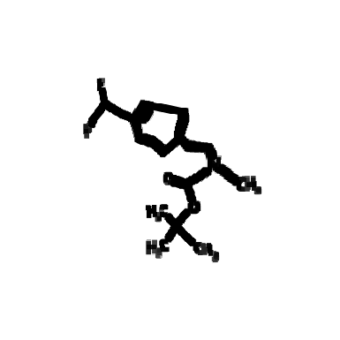 CN(Cc1ccc(C(F)F)cc1)C(=O)OC(C)(C)C